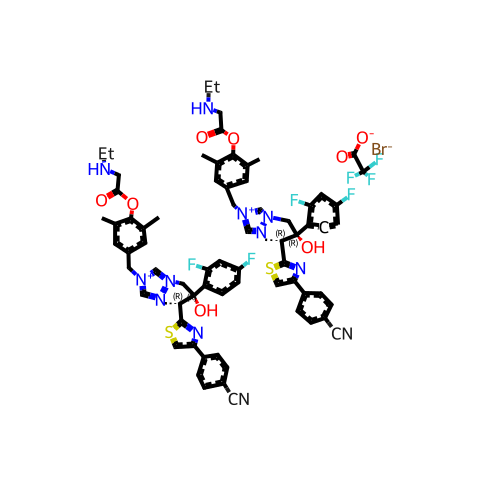 CCNCC(=O)Oc1c(C)cc(C[n+]2cnn(C[C@](O)(c3ccc(F)cc3F)[C@@H](C)c3nc(-c4ccc(C#N)cc4)cs3)c2)cc1C.CCNCC(=O)Oc1c(C)cc(C[n+]2cnn(C[C@](O)(c3ccc(F)cc3F)[C@@H](C)c3nc(-c4ccc(C#N)cc4)cs3)c2)cc1C.O=C([O-])C(F)(F)F.[Br-]